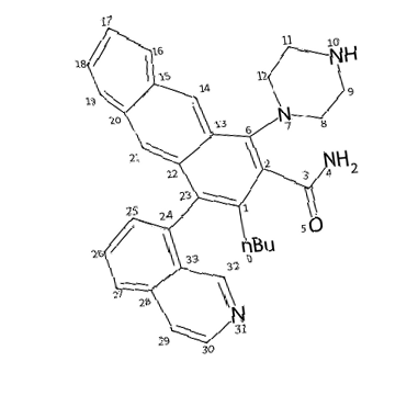 CCCCc1c(C(N)=O)c(N2CCNCC2)c2cc3ccccc3cc2c1-c1cccc2ccncc12